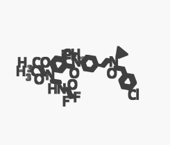 Cc1cc2c(cc1C(=O)N(C(C)C)[C@H]1CC[C@@H](CCN(C(=O)Cc3ccc(Cl)cc3)C3CC3)CC1)N(CCNC(=O)C(F)F)C(=O)C(C)(C)O2